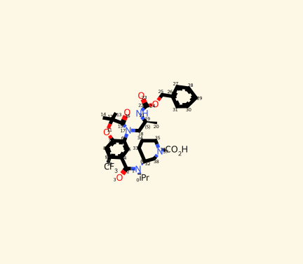 CC(C)N(C(=O)c1cc2c(cc1C(F)(F)F)OC(C)(C)C(=O)N2C[C@H](C)NC(=O)OCc1ccccc1)[C@@H]1CCCN(C(=O)O)C1